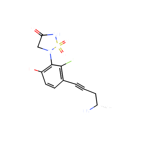 C[C@H](N)CC#Cc1ccc(O)c(N2CC(=O)NS2(=O)=O)c1F